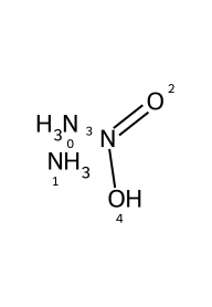 N.N.O=NO